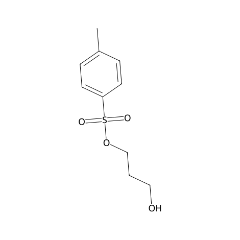 Cc1ccc(S(=O)(=O)OCCCO)cc1